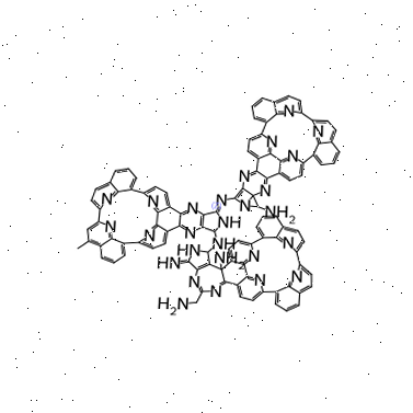 Cc1cc2nc3c1cccc3c1ccc3c4nc5c(nc4c4ccc(nc4c3n1)c1cccc3ccc2nc31)/C(=N/C1=C2N=c3c(c4ccc6nc4c4nc(ccc34)c3cccc4ccc(nc43)c3ccc4cccc6c4n3)=NC23C(N)N13)NC5NC1NC(=N)C2=C1C1(N)C(=NC(CN)=N2)c2ccc3nc2c2nc(ccc21)c1cccc2ccc(nc21)c1ccc2cccc3c2n1